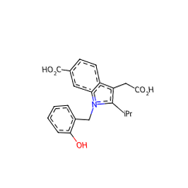 CC(C)c1c(CC(=O)O)c2ccc(C(=O)O)cc2n1Cc1ccccc1O